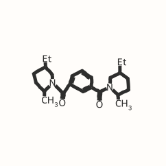 CCC1CCC(C)N(C(=O)c2cccc(C(=O)N3CC(CC)CCC3C)c2)C1